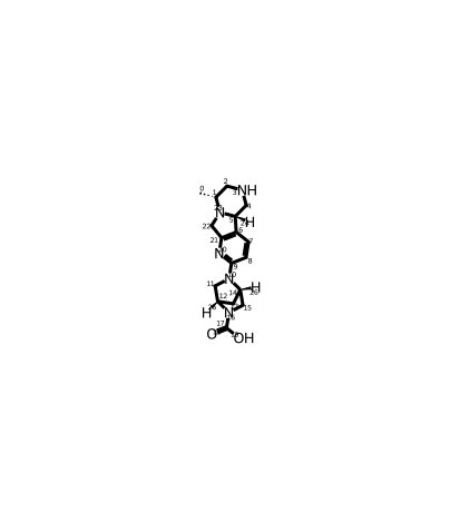 C[C@@H]1CNC[C@@H]2c3ccc(N4C[C@@H]5C[C@H]4CN5C(=O)O)nc3CN12